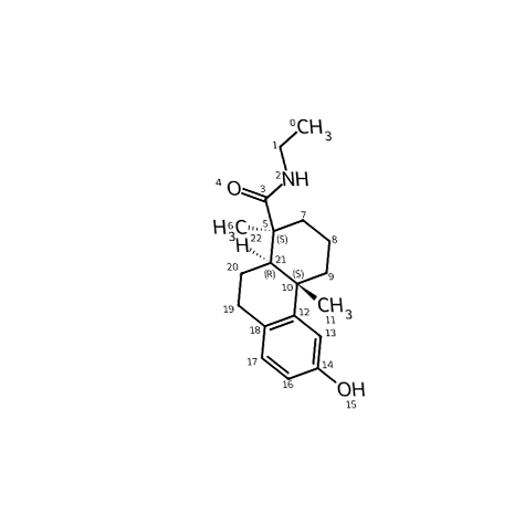 CCNC(=O)[C@@]1(C)CCC[C@]2(C)c3cc(O)ccc3CC[C@@H]12